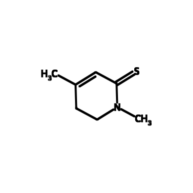 CC1=CC(=S)N(C)CC1